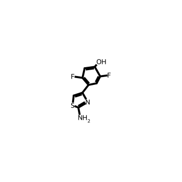 Nc1nc(-c2cc(F)c(O)cc2F)cs1